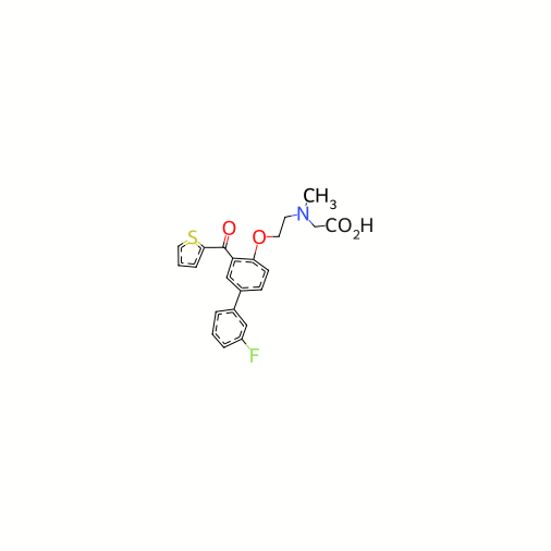 CN(CCOc1ccc(-c2cccc(F)c2)cc1C(=O)c1cccs1)CC(=O)O